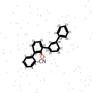 N#COc1c(-c2ccccc2)cccc1-c1cccc(-c2ccccc2)c1